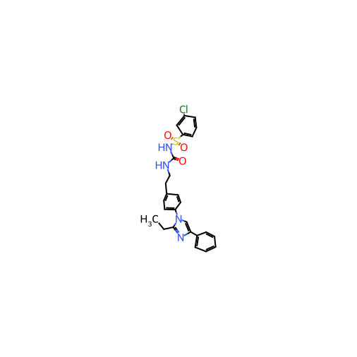 CCc1nc(-c2ccccc2)cn1-c1ccc(CCNC(=O)NS(=O)(=O)c2cccc(Cl)c2)cc1